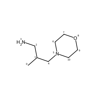 CC(CN)CN1CCOCC1